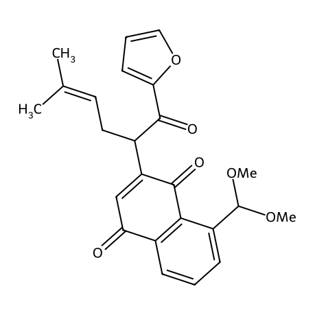 COC(OC)c1cccc2c1C(=O)C(C(CC=C(C)C)C(=O)c1ccco1)=CC2=O